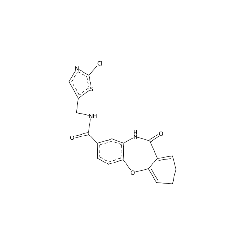 O=C1Nc2cc(C(=O)NCc3cnc(Cl)s3)ccc2OC2=CCCC=C12